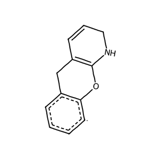 [c]1cccc2c1OC1=C(C=CCN1)C2